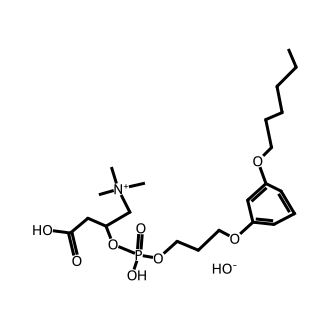 CCCCCCOc1cccc(OCCCOP(=O)(O)OC(CC(=O)O)C[N+](C)(C)C)c1.[OH-]